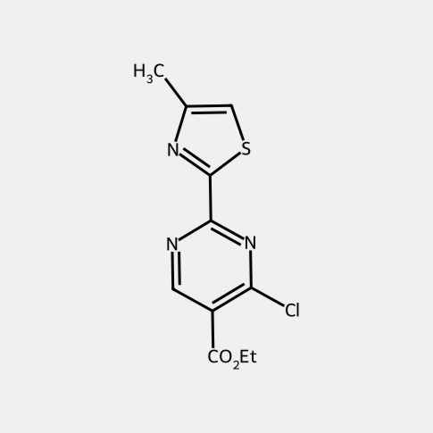 CCOC(=O)c1cnc(-c2nc(C)cs2)nc1Cl